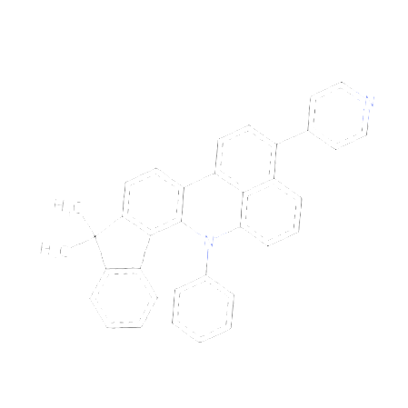 CC1(C)c2ccccc2-c2c1ccc1c2N(c2ccccc2)c2cccc3c(-c4ccncc4)ccc-1c23